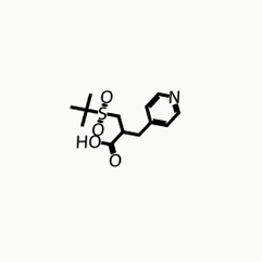 CC(C)(C)S(=O)(=O)CC(Cc1ccncc1)C(=O)O